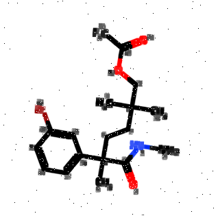 CNNC(=O)C(C)(CCC(C)(C)COC(=O)C(F)(F)F)c1cccc(Br)c1